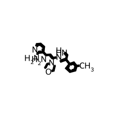 Cc1cccc(/C(C=N)=C/N/C(=C/C(N)c2cccnc2N)N2CCOCC2)c1